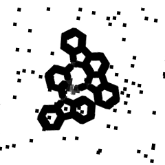 Cn1c2ccccc2c2ccc3c4ccccc4n(-c4cccc(-n5c6ccccc6c6ccccc65)n4)c3c21